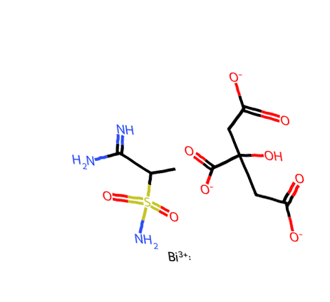 CC(C(=N)N)S(N)(=O)=O.O=C([O-])CC(O)(CC(=O)[O-])C(=O)[O-].[Bi+3]